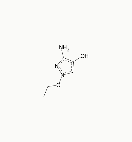 CCOn1cc(O)c(N)n1